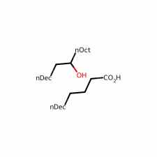 CCCCCCCCCCCC(O)CCCCCCCC.CCCCCCCCCCCCCC(=O)O